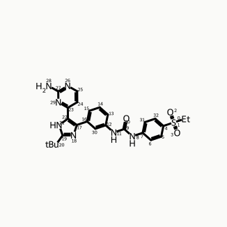 CCS(=O)(=O)c1ccc(NC(=O)Nc2cccc(-c3nc(C(C)(C)C)[nH]c3-c3ccnc(N)n3)c2)cc1